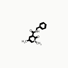 Cc1cc(C(=O)NCc2ccccc2)c(=O)n(C)c1